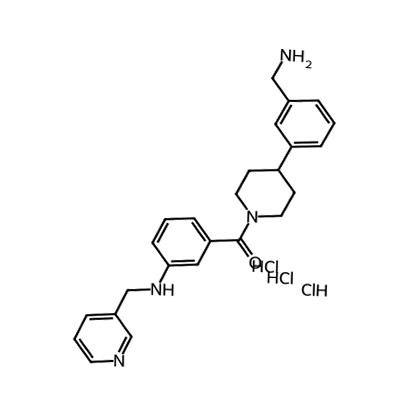 Cl.Cl.Cl.NCc1cccc(C2CCN(C(=O)c3cccc(NCc4cccnc4)c3)CC2)c1